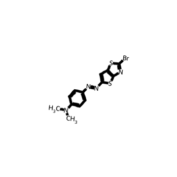 CN(C)c1ccc(N=Nc2cc3sc(Br)nc3s2)cc1